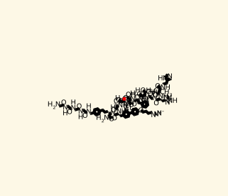 CCc1cc(OCCCCN=[N+]=[N-])ccc1-c1ccc(C[C@H](NC(=O)[C@H](CC(=O)O)NC(=O)[C@H](C)NC(=O)[C@@H](NC(=O)C(C)(Cc2ccccc2F)NC(=O)[C@@H](NC(=O)CNC(=O)[C@H](Cc2nn[nH]n2)NC(=O)C(C)(C)C(=O)NCCc2cnc[nH]2)[C@@H](C)O)[C@@H](C)O)C(=O)N[C@@H](CCCc2ccc(CNC(=O)CNC(=O)CNC(=O)CNC(=O)CN)cc2)C(N)=O)cc1